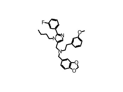 CCCCn1c(CN(CCc2cccc(OC)c2)Cc2ccc3c(c2)OCO3)cnc1-c1cccc(F)c1